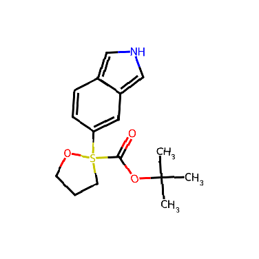 CC(C)(C)OC(=O)S1(c2ccc3c[nH]cc3c2)CCCO1